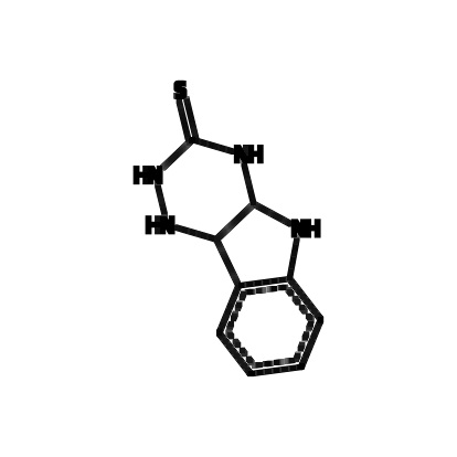 S=C1NNC2c3ccccc3NC2N1